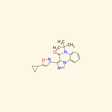 CC(C)(C)n1c(=O)c2c(-c3cc(C4CC4)on3)ncn2c2ccccc21